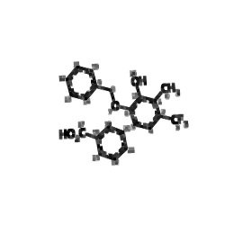 Cc1c(C(F)(F)F)ccc(OCc2ccccc2)c1O.O=C(O)c1ccccc1